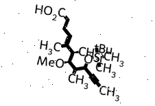 CC#CC(O[Si](C)(C)C(C)(C)C)C(C)[C@@H](OC)[C@H](C)/C(C)=C/CCC(=O)O